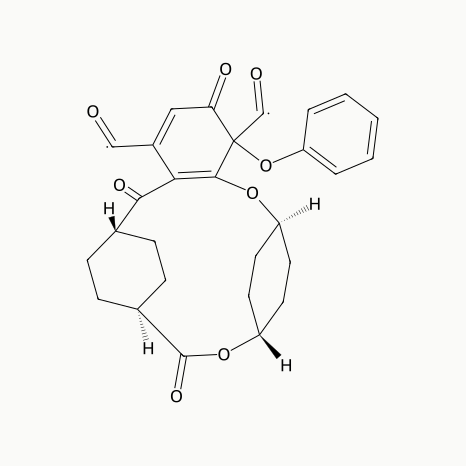 O=[C]C1=CC(=O)C([C]=O)(Oc2ccccc2)C2=C1C(=O)[C@H]1CC[C@@H](CC1)C(=O)O[C@H]1CC[C@@H](CC1)O2